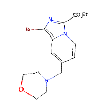 CCOC(=O)c1nc(Br)c2cc(CN3CCOCC3)ccn12